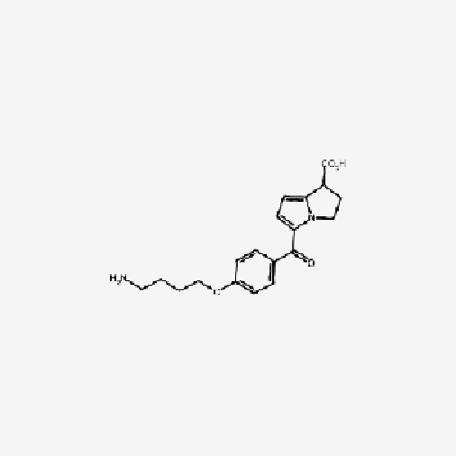 NCCCCOc1ccc(C(=O)c2ccc3n2CCC3C(=O)O)cc1